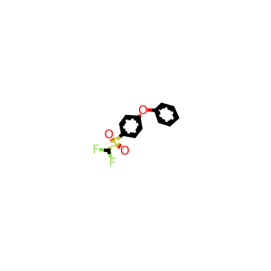 O=S(=O)(c1ccc(Oc2ccccc2)cc1)C(F)F